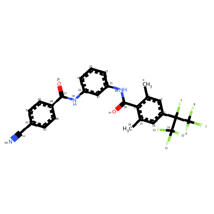 Cc1cc(C(F)(C(F)(F)F)C(F)(F)F)cc(C)c1C(=O)Nc1cccc(NC(=O)c2ccc(C#N)cc2)c1